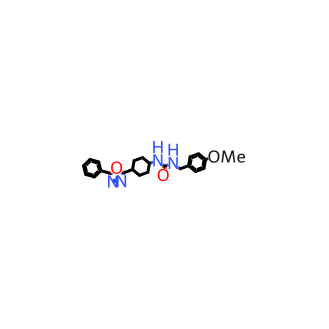 COc1ccc(CNC(=O)NC2CCC(c3nnc(-c4ccccc4)o3)CC2)cc1